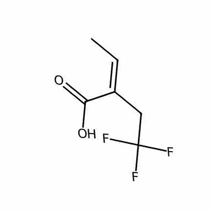 CC=C(CC(F)(F)F)C(=O)O